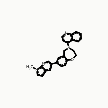 Cn1ccc2cc(-c3ccc4c(c3)CN(c3ccnc5ccccc35)CCO4)cnc21